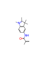 C=C(C)C(=O)Nc1ccc2c(c1)C(C)(C)C(C)=[N+]2C